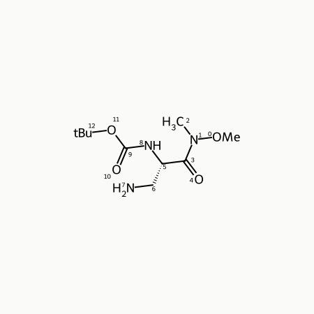 CON(C)C(=O)[C@H](CN)NC(=O)OC(C)(C)C